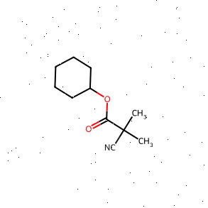 CC(C)(C#N)C(=O)OC1CCCCC1